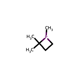 CP1CCC1(C)C